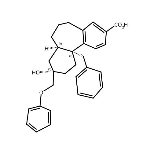 O=C(O)c1ccc2c(c1)CCC[C@@H]1C[C@](O)(COc3ccccc3)CC[C@]21Cc1ccccc1